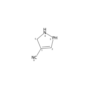 N#CC1=CPNC1